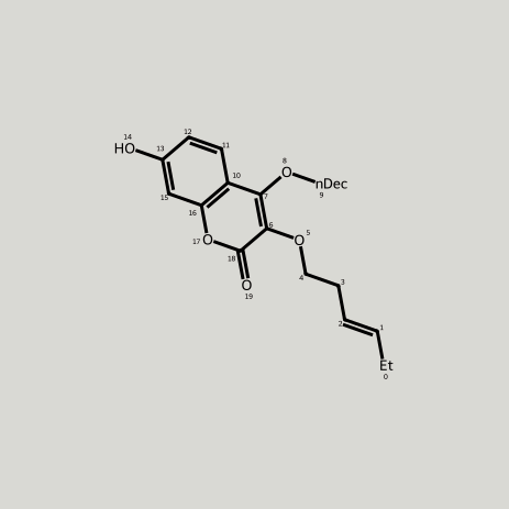 CCC=CCCOc1c(OCCCCCCCCCC)c2ccc(O)cc2oc1=O